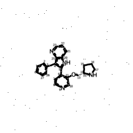 c1ccc(-c2c(-c3ccncc3OC[C@@H]3CCCN3)[nH]c3cccnc23)cc1